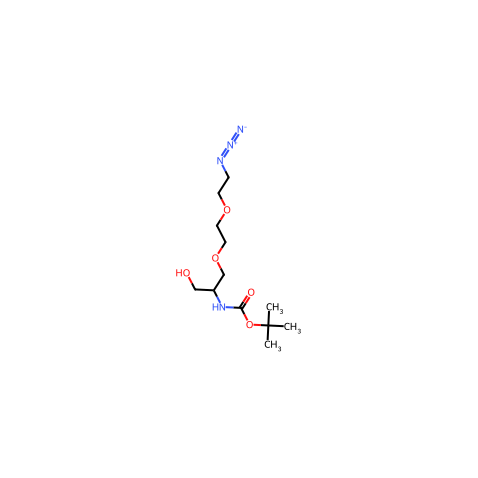 CC(C)(C)OC(=O)NC(CO)COCCOCCN=[N+]=[N-]